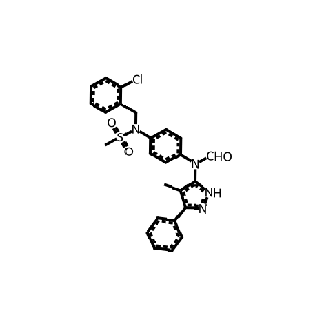 Cc1c(-c2ccccc2)n[nH]c1N(C=O)c1ccc(N(Cc2ccccc2Cl)S(C)(=O)=O)cc1